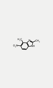 Cc1nc2c(C)c([N+](=O)[O-])ccc2[nH]1